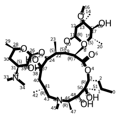 CCC[C@H]1OC(=O)[C@H](C)[C@@H](O[C@H]2C[C@@](C)(OC)[C@@H](O)[C@H](C)O2)[C@H](C)[C@@H](O[C@@H]2O[C@H](C)C[C@H](N(C)C)[C@H]2O)[C@](C)(O)C[C@@H](C)CN(C)[C@H](C)[C@@H](O)[C@]1(C)O